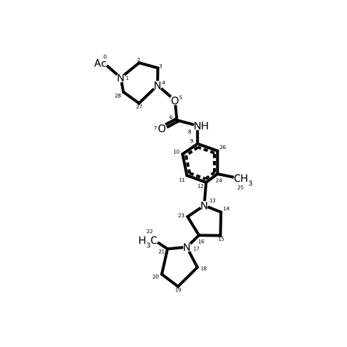 CC(=O)N1CCN(OC(=O)Nc2ccc(N3CCC(N4CCCC4C)C3)c(C)c2)CC1